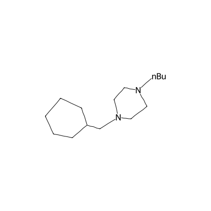 CCCCN1CCN(CC2CCCCC2)CC1